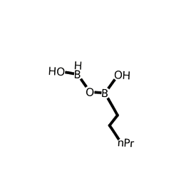 CCCCCB(O)OBO